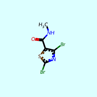 CNC(=O)c1sc(Br)nc1Br